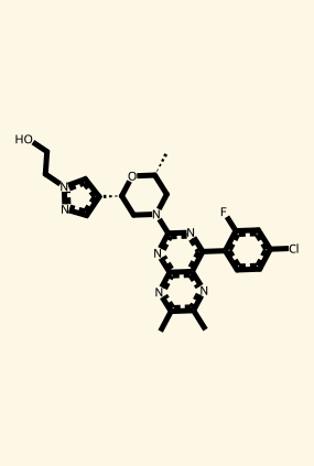 Cc1nc2nc(N3C[C@@H](C)O[C@@H](c4cnn(CCO)c4)C3)nc(-c3ccc(Cl)cc3F)c2nc1C